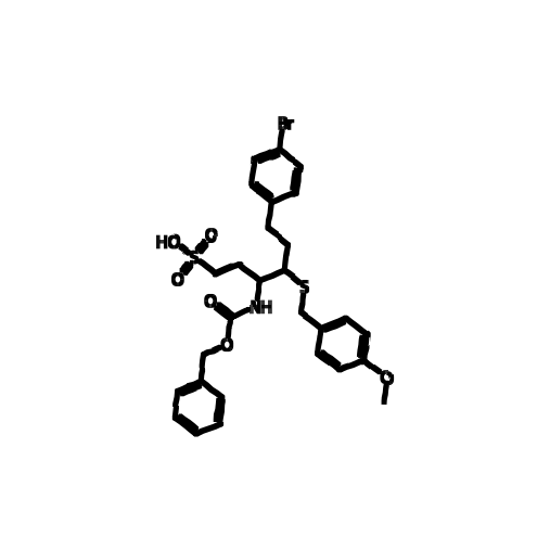 COc1ccc(CSC(CCc2ccc(Br)cc2)C(CCS(=O)(=O)O)NC(=O)OCc2ccccc2)cc1